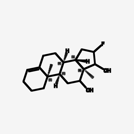 C[C@]12C(O)C[C@@H]3[C@@H](CCC4=CCCC[C@@]43C)[C@@H]1CC(F)C2O